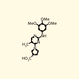 COc1cc(Nc2ncc(C)c(-n3ccc(C(=O)O)c3)n2)cc(OC)c1OC